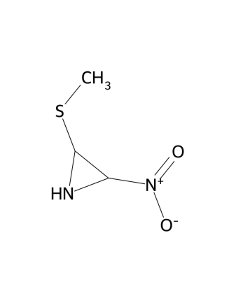 CSC1NC1[N+](=O)[O-]